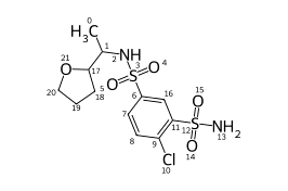 CC(NS(=O)(=O)c1ccc(Cl)c(S(N)(=O)=O)c1)C1CCCO1